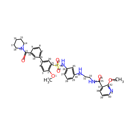 COc1ccc(-c2cccc(C(=O)N3CCCCC3)c2)cc1S(=O)(=O)Nc1cccc(NCCNC(=O)c2cccnc2OC)c1